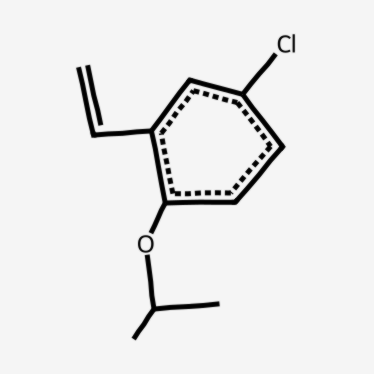 C=Cc1cc(Cl)ccc1OC(C)C